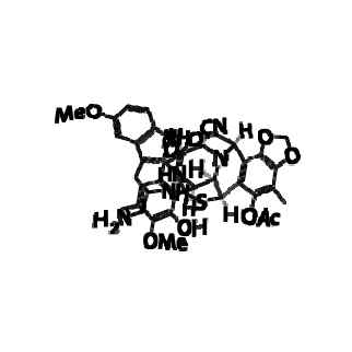 COc1ccc2[nH]c3c(c2c1)C[C@H](CN)N[C@]31CS[C@@H]2c3c(OC(C)=O)c(C)c4c(c3[C@H](COC1=O)N1[C@@H]2[C@@H]2N[C@@H](Cc3cc(C)c(OC)c(O)c32)[C@@H]1C#N)OCO4